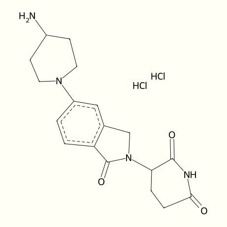 Cl.Cl.NC1CCN(c2ccc3c(c2)CN(C2CCC(=O)NC2=O)C3=O)CC1